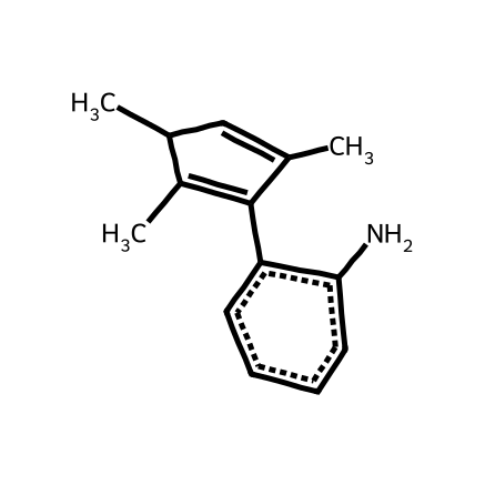 CC1=CC(C)C(C)=C1c1ccccc1N